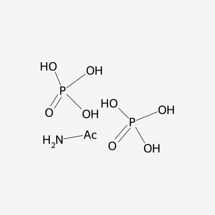 CC(N)=O.O=P(O)(O)O.O=P(O)(O)O